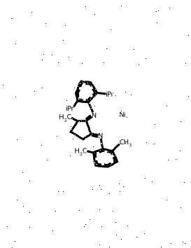 Cc1cccc(C)c1N=C1CCC(C)C1=Nc1c(C(C)C)cccc1C(C)C.[Ni]